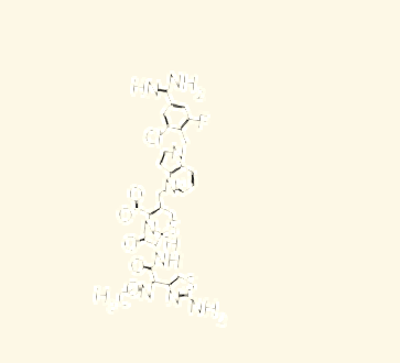 CO/N=C(\C(=O)N[C@@H]1C(=O)N2C(C(=O)[O-])=C(C[n+]3cccc4c3ccn4Cc3c(F)cc(C(=N)N)cc3Cl)CS[C@H]12)c1csc(N)n1